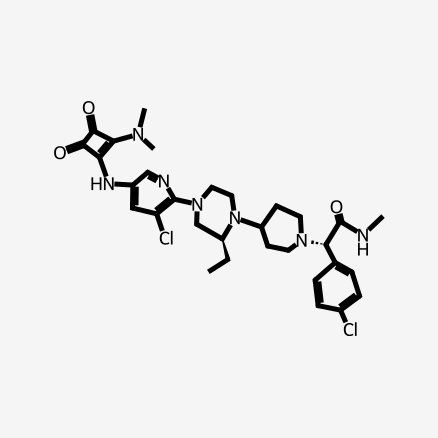 CC[C@H]1CN(c2ncc(Nc3c(N(C)C)c(=O)c3=O)cc2Cl)CCN1C1CCN([C@H](C(=O)NC)c2ccc(Cl)cc2)CC1